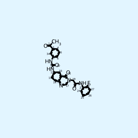 CC(=O)c1cccc(NC(=O)Nc2ccc3ncn(CC(=O)Nc4ccccc4F)c(=O)c3c2)c1